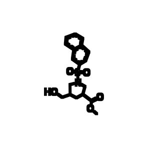 COC(=O)C1CC(CO)CN(S(=O)(=O)c2ccc3ccccc3c2)C1